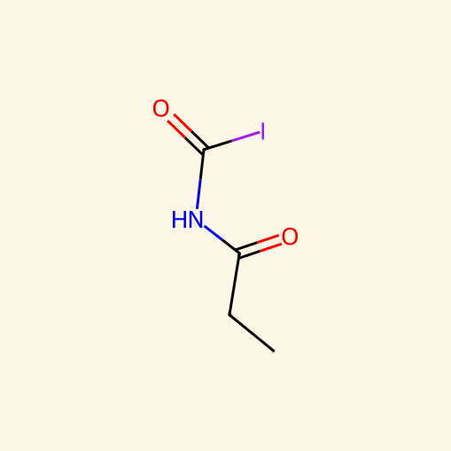 CCC(=O)NC(=O)I